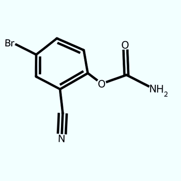 N#Cc1cc(Br)ccc1OC(N)=O